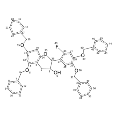 OC1Cc2c(OCc3ccccc3)cc(OCc3ccccc3)cc2OC1c1cc(OCc2ccccc2)c(OCc2ccccc2)cc1F